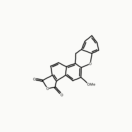 COc1cc2c3c(ccc2c2c1Oc1ccccc1C2)C(=O)OC3=O